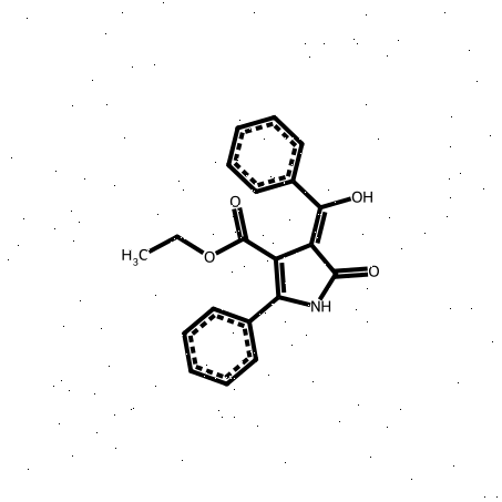 CCOC(=O)C1=C(c2ccccc2)NC(=O)/C1=C(\O)c1ccccc1